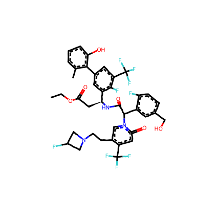 CCOC(=O)C[C@H](NC(=O)C(c1cc(CO)ccc1F)n1cc(CCN2CC(F)C2)c(C(F)(F)F)cc1=O)c1cc(-c2c(C)cccc2O)cc(C(F)(F)F)c1F